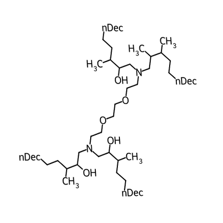 CCCCCCCCCCCCC(C)C(C)CN(CCOCCOCCN(CC(O)C(C)CCCCCCCCCCCC)CC(O)C(C)CCCCCCCCCCCC)CC(O)C(C)CCCCCCCCCCCC